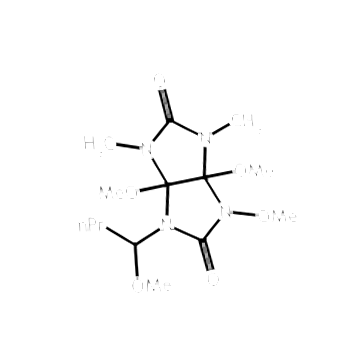 CCCC(OC)N1C(=O)N(OC)C2(OC)N(C)C(=O)N(C)C12OC